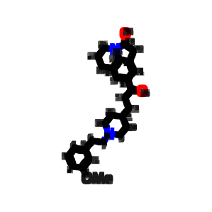 COc1cccc(CCN2CCC(CCC(=O)c3cc4c5c(c3)CC(=O)N5CCC4)CC2)c1